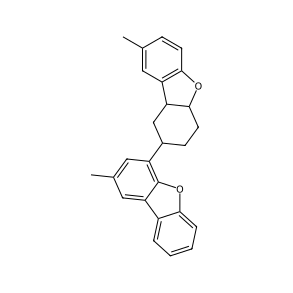 Cc1ccc2c(c1)C1CC(c3cc(C)cc4c3oc3ccccc34)CCC1O2